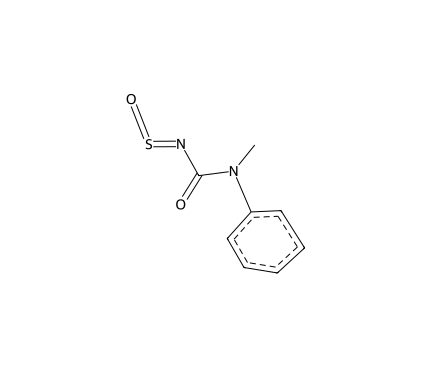 CN(C(=O)N=S=O)c1ccccc1